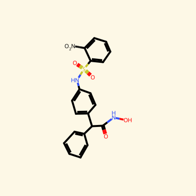 O=C(NO)C(c1ccccc1)c1ccc(NS(=O)(=O)c2ccccc2[N+](=O)[O-])cc1